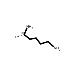 C[C@H](N)CC[CH]CN